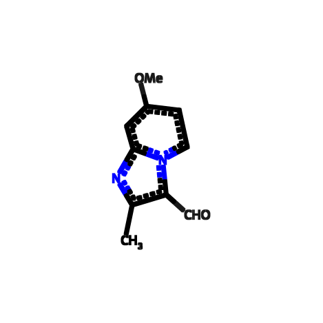 COc1ccn2c(C=O)c(C)nc2c1